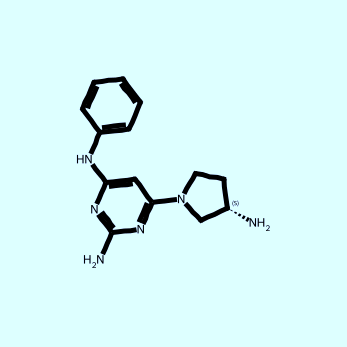 Nc1nc(Nc2ccccc2)cc(N2CC[C@H](N)C2)n1